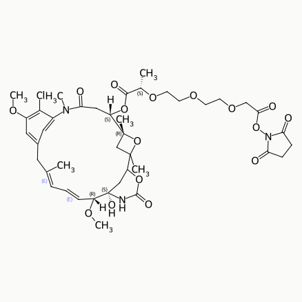 COc1cc2cc(c1Cl)N(C)C(=O)C[C@H](OC(=O)[C@H](C)OCCOCCOCC(=O)ON1C(=O)CCC1=O)[C@@]1(C)CC(C)(O1)C1C[C@@](O)(NC(=O)O1)[C@H](OC)/C=C/C=C(\C)C2